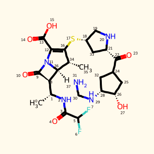 C[C@@H](NC(=O)C(F)F)[C@H]1C(=O)N2C(C(=O)O)=C(S[C@@H]3CN[C@H](C(=O)C4C[C@H](O)[C@H](NCN)C4)C3)[C@H](C)[C@@H]12